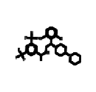 CC(NCC(c1c(Cl)cccc1Cl)N1CCC(N2CCCCC2)CC1)c1cc(C(F)(F)F)cc(C(F)(F)F)c1